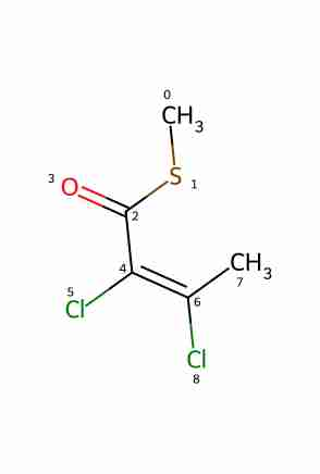 CSC(=O)/C(Cl)=C(\C)Cl